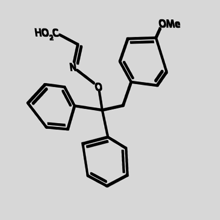 COc1ccc(CC(O/N=C/C(=O)O)(c2ccccc2)c2ccccc2)cc1